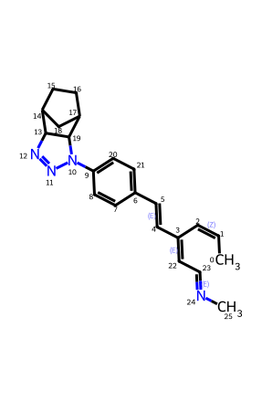 C\C=C/C(/C=C/c1ccc(N2N=NC3C4CCC(C4)C32)cc1)=C\C=N\C